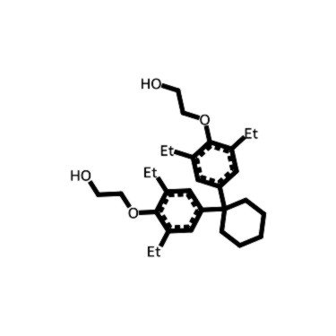 CCc1cc(C2(c3cc(CC)c(OCCO)c(CC)c3)CCCCC2)cc(CC)c1OCCO